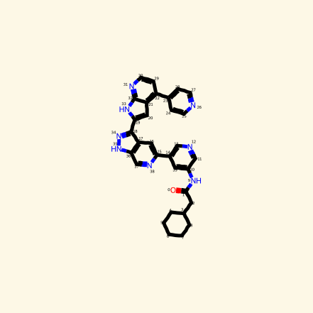 O=C(CC1CCCCC1)Nc1cncc(-c2cc3c(-c4cc5c(-c6ccncc6)ccnc5[nH]4)n[nH]c3cn2)c1